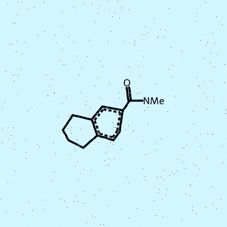 CNC(=O)c1ccc2c(c1)CCCC2